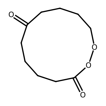 O=C1CCCCOOC(=O)CCCC1